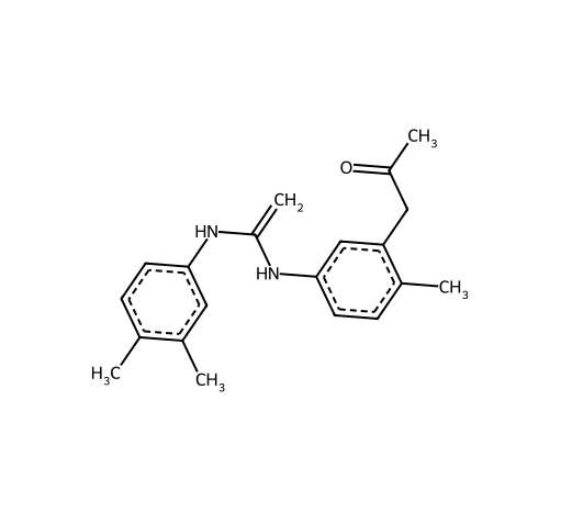 C=C(Nc1ccc(C)c(C)c1)Nc1ccc(C)c(CC(C)=O)c1